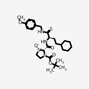 COc1ccc(CNC(=S)[C@@H](CCC2CCCCC2)NC(=O)[C@@H]2N(C(=O)OC(C)(C)C)CC[S@+]2[O-])cc1